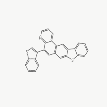 c1ccc2c(-c3cc4cc5sc6ccccc6c5cc4c4cccnc34)csc2c1